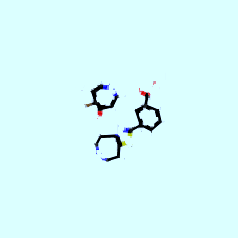 Br.COC(=O)c1cccc(-c2nc3c(s2)CCNCC3)c1.O=c1ccnccc1Br